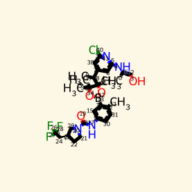 C/C(=C\O)Nc1cc(C(C)C2(C)OB(c3cc(NC(=O)N4CC[C@@H](CC(F)(F)F)C4)ccc3C)OC2(C)C)cc(Cl)n1